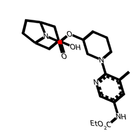 CCOC(=O)Nc1cnc(N2CCCC(OC(=O)N3C4CCC3CC(O)C4)C2)c(C)c1